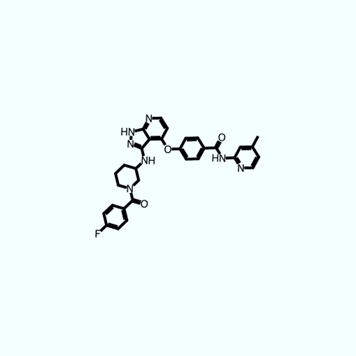 Cc1ccnc(NC(=O)c2ccc(Oc3ccnc4[nH]nc(NC5CCCN(C(=O)c6ccc(F)cc6)C5)c34)cc2)c1